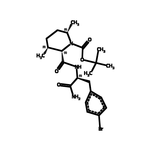 C[C@@H]1CC[C@H](C)N(C(=O)OC(C)(C)C)[C@@H]1C(=O)N[C@@H](Cc1ccc(Br)cc1)C(N)=O